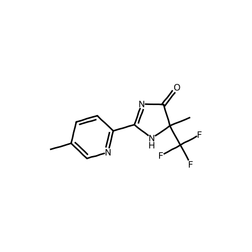 Cc1ccc(C2=NC(=O)C(C)(C(F)(F)F)N2)nc1